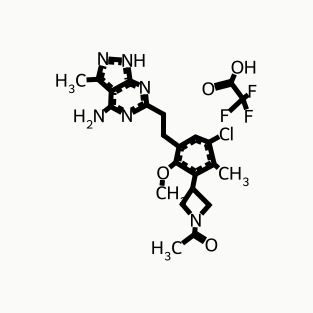 COc1c(CCc2nc(N)c3c(C)n[nH]c3n2)cc(Cl)c(C)c1C1CN(C(C)=O)C1.O=C(O)C(F)(F)F